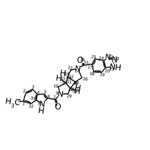 Cc1ccc2cc(C(=O)N3C[C@@H]4[C@H]5CN(C(=O)c6ccc7[nH]nnc7c6)C[C@H]5[C@@H]4C3)[nH]c2c1